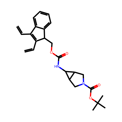 C=CC1=C(C=C)C(COC(=O)NC2C3CN(C(=O)OC(C)(C)C)CC32)c2ccccc21